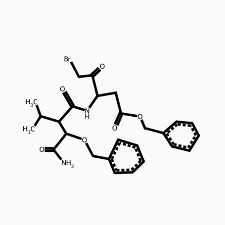 CC(C)C(C(=O)NC(CC(=O)OCc1ccccc1)C(=O)CBr)C(OCc1ccccc1)C(N)=O